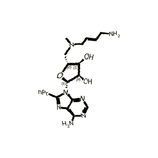 CCCc1nc2c(N)ncnc2n1[C@@H]1O[C@H](CN(C)C/C=C/CN)[C@@H](O)[C@H]1O